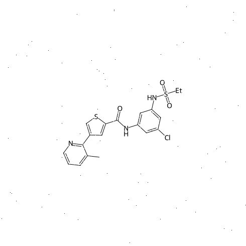 CCS(=O)(=O)Nc1cc(Cl)cc(NC(=O)c2cc(-c3ncccc3C)cs2)c1